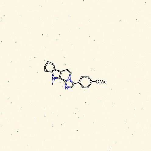 COc1ccc(-c2cnc3c4c(ccn23)c2ccccc2n4C)cc1